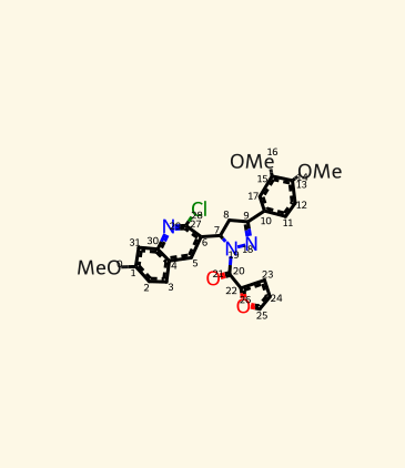 COc1ccc2cc(C3CC(c4ccc(OC)c(OC)c4)=NN3C(=O)c3ccco3)c(Cl)nc2c1